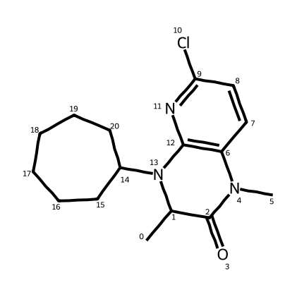 CC1C(=O)N(C)c2ccc(Cl)nc2N1C1CCCCCC1